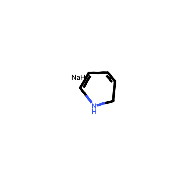 C1=CCNC=C1.[NaH]